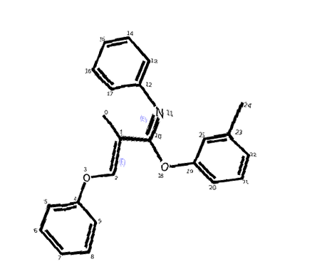 CC(=C\Oc1ccccc1)/C(=N\c1ccccc1)Oc1cccc(C)c1